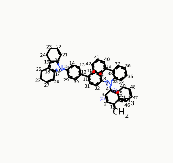 C=C(/C=C\C(=C/C)N(c1ccc(-c2ccc(-n3c4c(c5c3C=CCC5)CCC=C4)cc2)cc1)c1ccccc1-c1ccccc1)C1=CC=CCC1